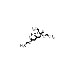 CCOC(=O)CC(O)CP(=O)(OCC)OCC